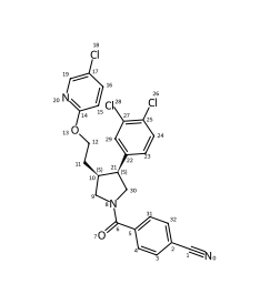 N#Cc1ccc(C(=O)N2C[C@@H](CCOc3ccc(Cl)cn3)[C@@H](c3ccc(Cl)c(Cl)c3)C2)cc1